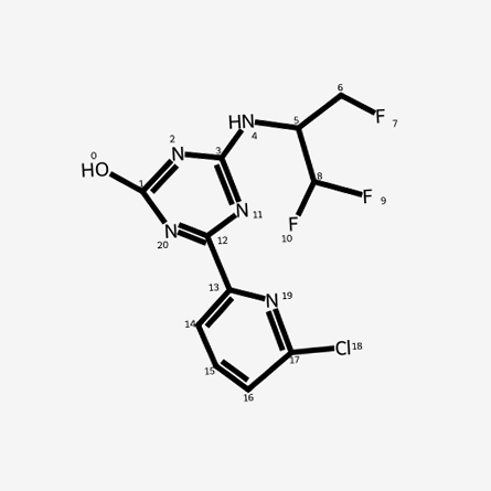 Oc1nc(NC(CF)C(F)F)nc(-c2cccc(Cl)n2)n1